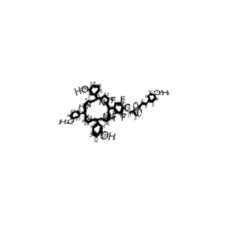 Oc1ccc(CCC2OCC(COc3c(F)c(F)c(-c4c5nc(c(-c6cccc(O)c6)c6ccc([nH]6)c(-c6cccc(O)c6)c6nc(c(-c7cccc(O)c7)c7ccc4[nH]7)C=C6)C=C5)c(F)c3F)O2)cc1